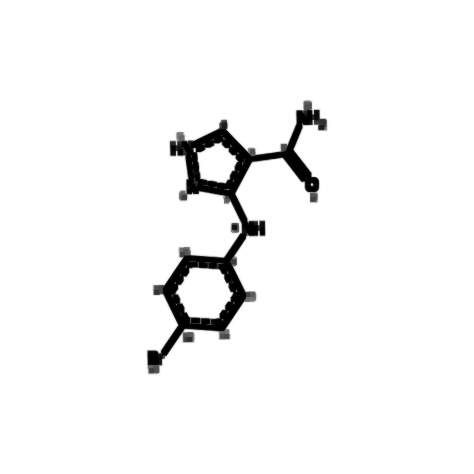 NC(=O)c1c[nH]nc1Nc1ccc(Br)cc1